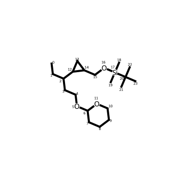 CCC(CCOC1CCCCO1)C1CC1CO[Si](C)(C)C(C)(C)C